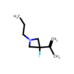 C=C(C)C1(F)CN(CCC)C1